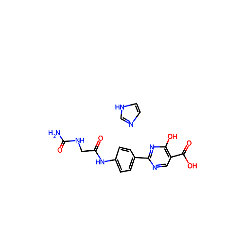 NC(=O)NCC(=O)Nc1ccc(-c2ncc(C(=O)O)c(O)n2)cc1.c1c[nH]cn1